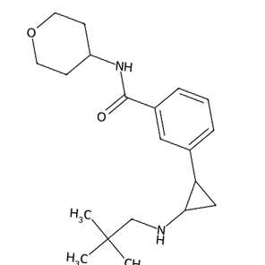 CC(C)(C)CNC1CC1c1cccc(C(=O)NC2CCOCC2)c1